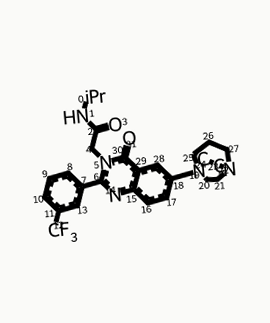 CC(C)NC(=O)Cn1c(-c2cccc(C(F)(F)F)c2)nc2ccc(N3CCN4CCC3CC4)cc2c1=O